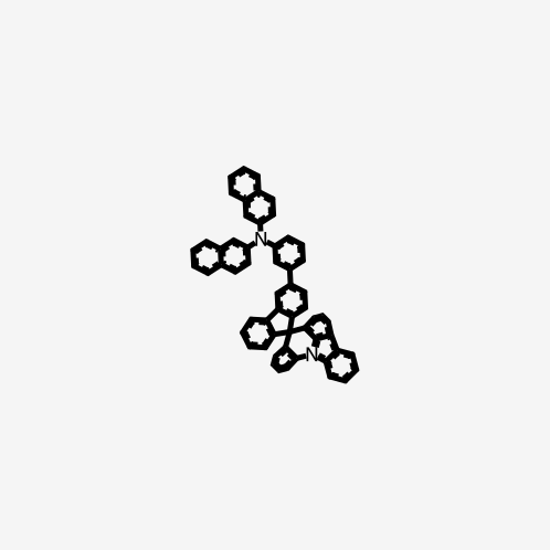 c1cc(-c2ccc3c(c2)-c2ccccc2C32c3ccccc3-n3c4ccccc4c4cccc2c43)cc(N(c2ccc3ccccc3c2)c2ccc3ccccc3c2)c1